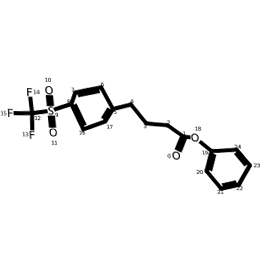 O=C(CCCc1ccc(S(=O)(=O)C(F)(F)F)cc1)Oc1ccccc1